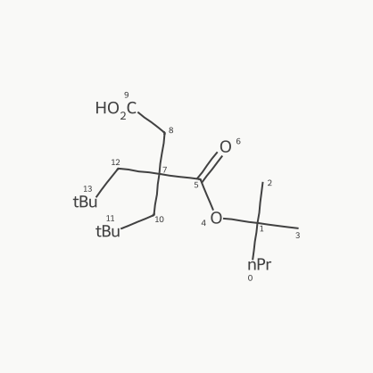 CCCC(C)(C)OC(=O)C(CC(=O)O)(CC(C)(C)C)CC(C)(C)C